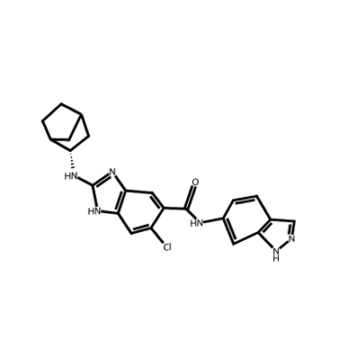 O=C(Nc1ccc2cn[nH]c2c1)c1cc2nc(N[C@H]3CC4CCC3C4)[nH]c2cc1Cl